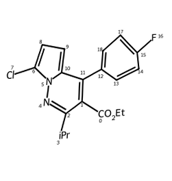 CCOC(=O)c1c(C(C)C)nn2c(Cl)ccc2c1-c1ccc(F)cc1